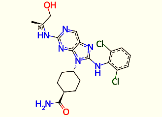 C[C@@H](CO)Nc1ncc2nc(Nc3c(Cl)cccc3Cl)n([C@H]3CC[C@H](C(N)=O)CC3)c2n1